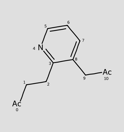 CC(=O)CCc1ncccc1CC(C)=O